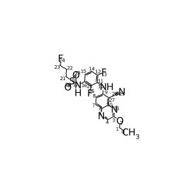 CCOc1cnc2ccc(Nc3c(F)ccc(NS(=O)(=O)CCCF)c3F)c(C#N)c2n1